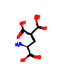 N[C@H](CC(C(=O)O)C(=O)O)C(=O)O